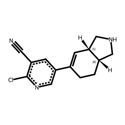 N#Cc1cc(C2=C[C@@H]3CNC[C@@H]3CC2)cnc1Cl